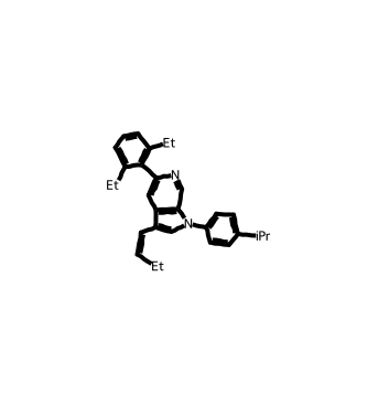 CC/C=C\c1cn(-c2ccc(C(C)C)cc2)c2cnc(-c3c(CC)cccc3CC)cc12